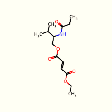 CCOC(=O)/C=C/C(=O)OC[C@H](NC(=O)CC)C(C)C